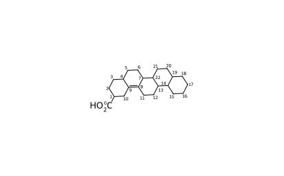 O=C(O)C1CCC2CCC3C(=C2C1)CCC1C2CCCCC2CCC31